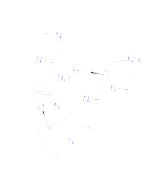 C[C@H]1CNCCN1c1ccc2c(n1)N(C(=O)Nc1cnccn1)[C@H]1CCCN2C1